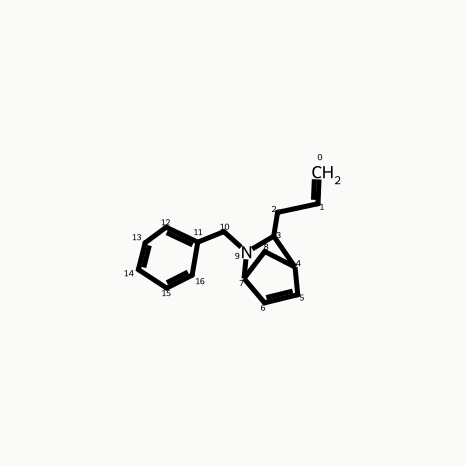 C=CCC1C2C=CC(C2)N1Cc1ccccc1